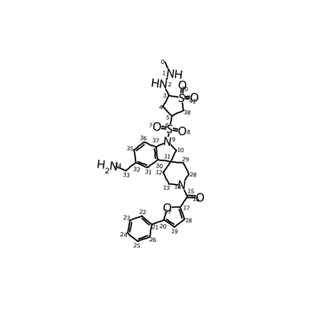 CNNC1CC(S(=O)(=O)N2CC3(CCN(C(=O)c4ccc(-c5ccccc5)o4)CC3)c3cc(CN)ccc32)CS1(=O)=O